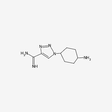 N=C(N)c1cn(C2CCC(N)CC2)nn1